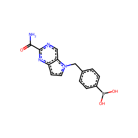 NC(=O)c1ncc2c(ccn2Cc2ccc(B(O)O)cc2)n1